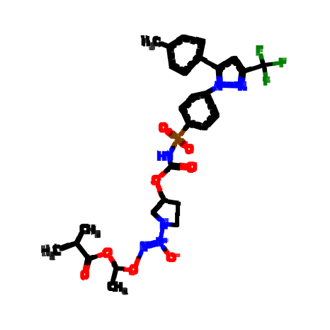 Cc1ccc(-c2cc(C(F)(F)F)nn2-c2ccc(S(=O)(=O)NC(=O)OC3CCN([N+]([O-])=NOC(C)OC(=O)C(C)C)C3)cc2)cc1